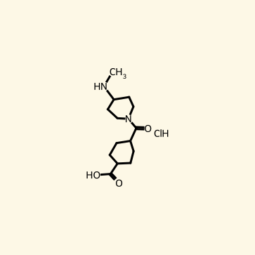 CNC1CCN(C(=O)C2CCC(C(=O)O)CC2)CC1.Cl